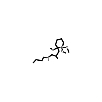 CCCCNCC(C)CC1(OC)CCCC[Si]1(OC)OC